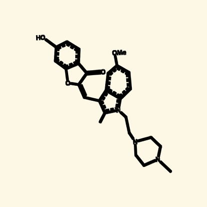 COc1ccc2c(c1)c(C=C1Oc3cc(O)ccc3C1=O)c(C)n2CCN1CCN(C)CC1